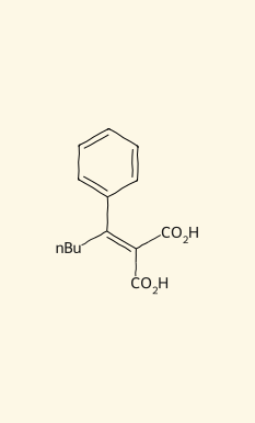 CCCCC(=C(C(=O)O)C(=O)O)c1ccccc1